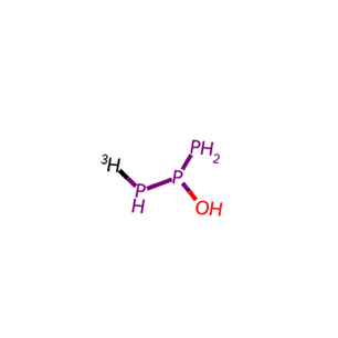 [3H]PP(O)P